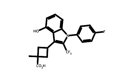 CC1(C(=O)O)CC(c2c(C(F)(F)F)n(-c3ccc(F)cc3)c3cccc(O)c23)C1